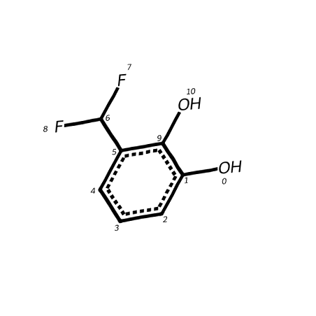 Oc1cccc(C(F)F)c1O